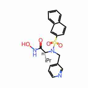 CC(C)[C@H](C(=O)NO)N(Cc1cccnc1)S(=O)(=O)c1ccc2ccccc2c1